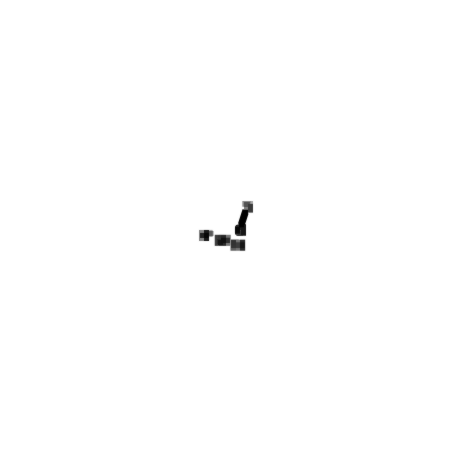 F.[Cl][Ti].[H+].[KH]